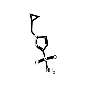 NS(=O)(=O)c1ccn(CC2CC2)n1